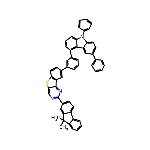 CC1(C)c2ccccc2-c2ccc(-c3ncc4sc5ccc(-c6cccc(-c7cccc8c7c7cc(-c9ccccc9)ccc7n8-c7ccccc7)c6)cc5c4n3)cc21